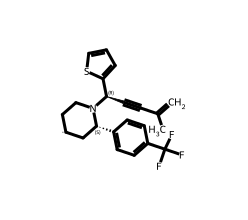 C=C(C)C#C[C@H](c1cccs1)N1CC[CH]C[C@H]1c1ccc(C(F)(F)F)cc1